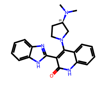 CN(C)[C@@H]1CCN(c2c(-c3nc4ccccc4[nH]3)c(=O)[nH]c3ccccc23)C1